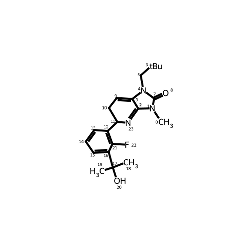 Cn1c2c(n(CC(C)(C)C)c1=O)=CCC(c1cccc(C(C)(C)O)c1F)N=2